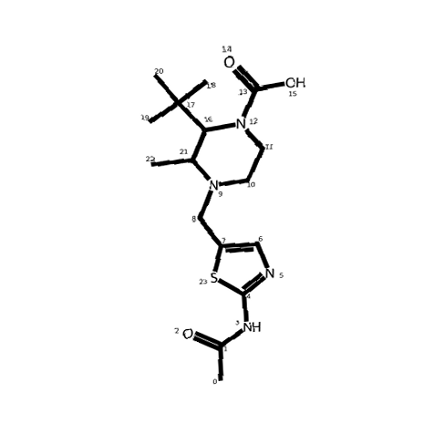 CC(=O)Nc1ncc(CN2CCN(C(=O)O)C(C(C)(C)C)C2C)s1